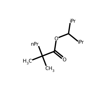 CCCC(C)(C)C(=O)OC(C(C)C)C(C)C